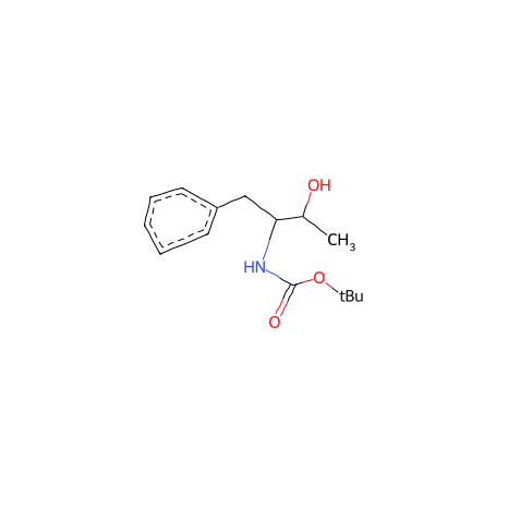 CC(O)C(Cc1ccccc1)NC(=O)OC(C)(C)C